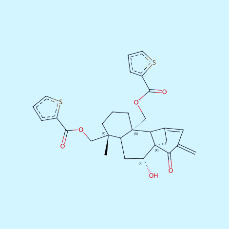 C=C1C=C2C[C@@]3(C1=O)C2[C@]1(COC(=O)c2cccs2)CCC[C@@](C)(COC(=O)c2cccs2)C1C[C@H]3O